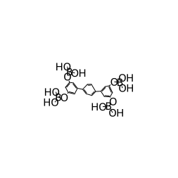 OB(O)Oc1cc(OB(O)O)cc(-c2ccc(-c3cc(OB(O)O)cc(OB(O)O)c3)cc2)c1